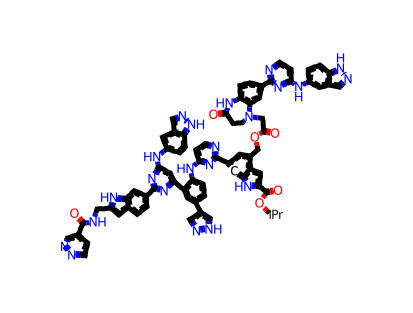 CC(C)OC(=O)c1cc2c(COC(=O)CN3CCC(=O)Nc4ccc(-c5nccc(Nc6ccc7[nH]ncc7c6)n5)cc43)cc(-c3nccc(Nc4ccc(-c5cn[nH]c5)cc4-c4cc(Nc5ccc6[nH]ncc6c5)nc(-c5ccc6cc(CNC(=O)c7ccnnc7)[nH]c6c5)n4)n3)cc2[nH]1